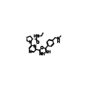 CCNC(=O)[C@H]1CCCN1c1cncc(C(=N)OC(=N)c2ccc(CNC)cc2)n1